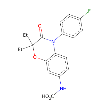 CCC1(CC)Oc2cc(NC(=O)O)ccc2N(c2ccc(F)cc2)C1=O